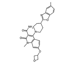 Cc1ccc2oc(C3CCN(c4c(C(N)=O)c(=O)n(C)c5cc(OC6COC6)ccc45)CC3)nc2c1